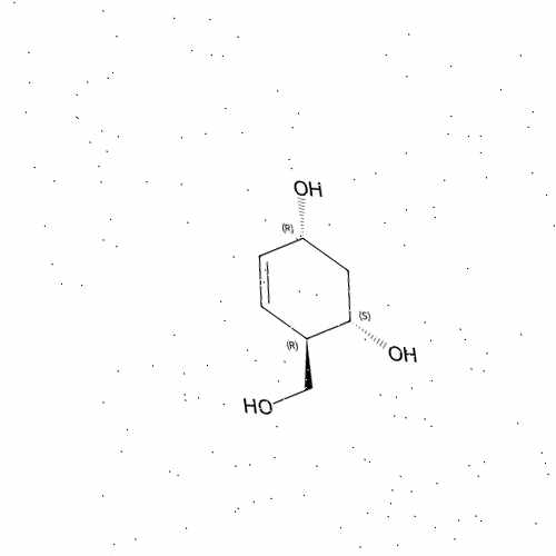 OC[C@H]1C=C[C@H](O)C[C@@H]1O